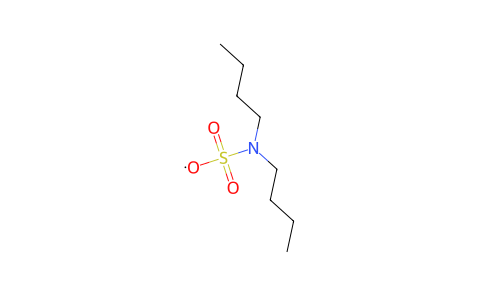 CCCCN(CCCC)S([O])(=O)=O